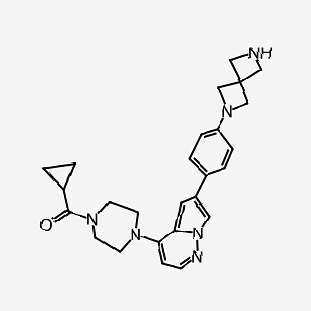 O=C(C1CC1)N1CCN(c2ccnn3cc(-c4ccc(N5CC6(CNC6)C5)cc4)cc23)CC1